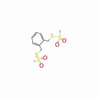 CS(=O)(=O)SCc1ccccc1CSS(C)(=O)=O